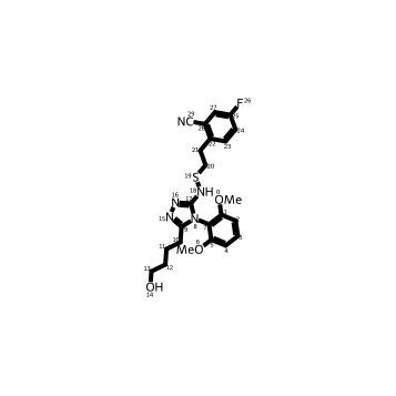 COc1cccc(OC)c1-n1c(CCCCO)nnc1NSCCc1ccc(F)cc1C#N